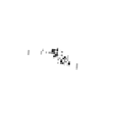 CCOC(=O)CCN[P@@]1(=O)OC[C@H]2O[C@@H](n3cnc4c(OCC)nc(N)nc43)[C@](C)(F)[C@@H]2O1